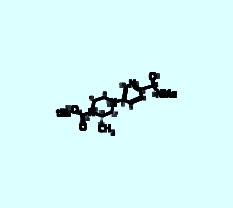 CNC(=O)c1ccc(N2CCN(C(=O)OC(C)(C)C)[C@@H](C)C2)cn1